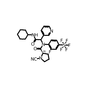 N#CN1CCC[C@@H]1C(=O)N(c1ccc(S(F)(F)(F)(F)F)cc1F)C(C(=O)NC1CCCCC1)c1cccnc1